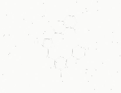 Cc1nc(Nc2ncc(C(=O)Nc3c(C)cccc3Cl)s2)cc(N2CCNCC2)n1.Cl